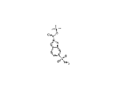 CC(C)(C)OC(=O)n1cc2ccc(S(N)(=O)=O)cc2c1